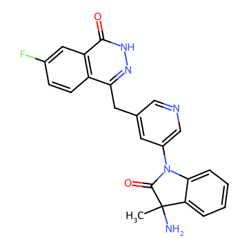 CC1(N)C(=O)N(c2cncc(Cc3n[nH]c(=O)c4cc(F)ccc34)c2)c2ccccc21